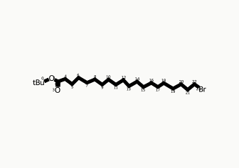 CC(C)(C)OC(=O)CCCCCCCCCCCCCCCCCCCBr